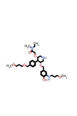 CCN(C)C(=O)CO[C@@H]1CNC[C@H](OCc2ccc(O)c(NCCCOC)c2)C1c1ccc(COCCCOC)cc1